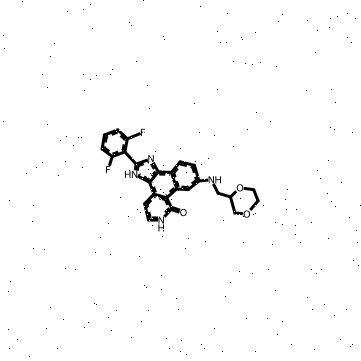 O=c1[nH]ccc2c3[nH]c(-c4c(F)cccc4F)nc3c3ccc(NCC4COCCO4)cc3c12